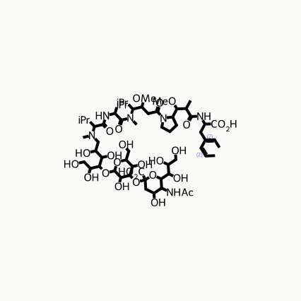 C/C=C\C(=C/C)CC(NC(=O)C(C)C(OC)C1CCCN1C(=O)CC(OC)C(C(C)C)N(C)C(=O)C(NC(=O)C(C(C)C)N(C)CC(O)C(O)C(OC1OC(CO)C(O)C(OC2(C(=O)O)CC(O)C(NC(C)=O)C(C(O)C(O)CO)O2)C1O)C(O)CO)C(C)C)C(=O)O